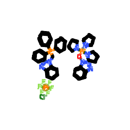 F[P-](F)(F)(F)(F)F.[Cl-].c1ccc([P+](Cn2nnc3ccccc32)(c2ccccc2)c2ccccc2)cc1.c1ccc2c(c1)nnn2O[P+](N1CCCC1)(N1CCCC1)N1CCCC1